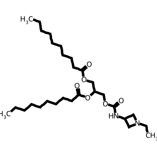 CCCCCCCCCC(=O)OCC(COC(=O)NC1CN(CC)C1)OC(=O)CCCCCCCCC